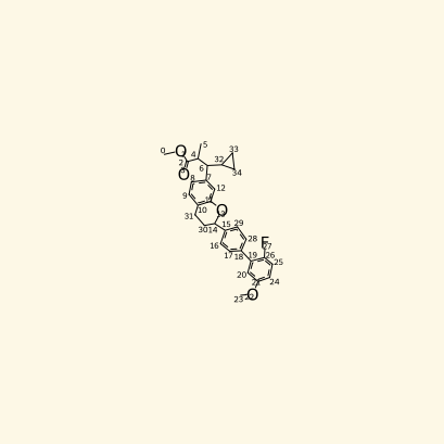 COC(=O)C(C)C(c1ccc2c(c1)OC(c1ccc(-c3cc(OC)ccc3F)cc1)CC2)C1CC1